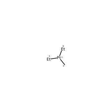 C[CH2][Pt]([CH3])[CH2]C